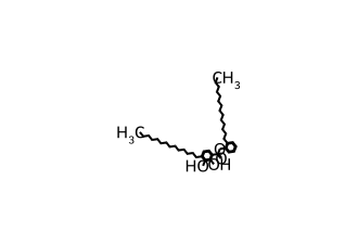 CCCCCCCCCCCCCCc1ccccc1OC(=O)c1ccc(CCCCCCCCCCCCCC)c(O)c1O